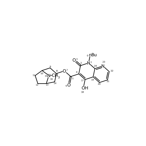 CCCCn1c(=O)c(C(=O)OC2CC3CCC(C2)N3C)c(O)c2cccnc21